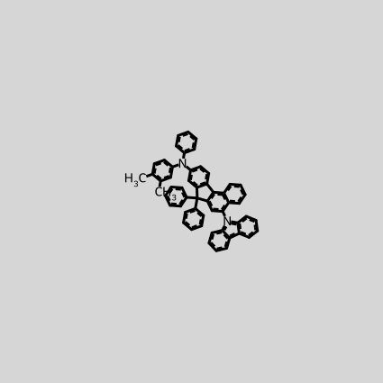 Cc1ccc(N(c2ccccc2)c2ccc3c(c2)C(c2ccccc2)(c2ccccc2)c2cc(-n4c5ccccc5c5ccccc54)c4ccccc4c2-3)cc1C